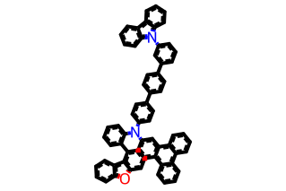 c1cc(-c2ccc(-c3ccc(N(c4ccc5c6ccccc6c6ccccc6c5c4)c4ccccc4-c4cccc5oc6ccccc6c45)cc3)cc2)cc(-n2c3ccccc3c3ccccc32)c1